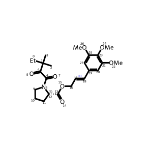 CCC(C)(C)C(=O)C(=O)N1CCC[C@H]1C(=O)OC/C=C/c1cc(OC)c(OC)c(OC)c1